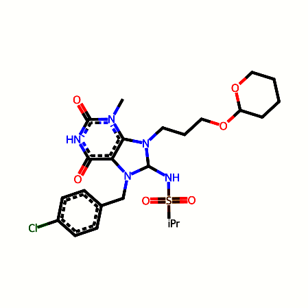 CC(C)S(=O)(=O)NC1N(Cc2ccc(Cl)cc2)c2c(n(C)c(=O)[nH]c2=O)N1CCCOC1CCCCO1